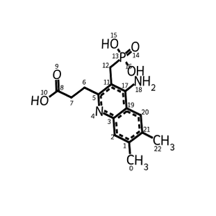 Cc1cc2nc(CCC(=O)O)c(CP(=O)(O)O)c(N)c2cc1C